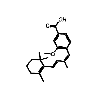 COc1cc(C(=O)O)ccc1C=C(C)C=CC1=C(C)CCCC1(C)C